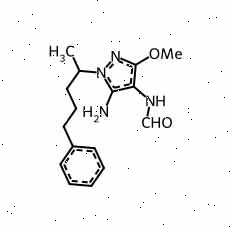 COc1nn(C(C)CCCc2ccccc2)c(N)c1NC=O